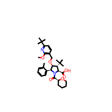 COc1nc(C(C)(C)C)ccc1CO[C@H]1[C@H](C(C)(C)C)[C@@H](C(=O)O)N(C(=O)[C@@H]2CCCCO2)[C@H]1c1ccccc1C